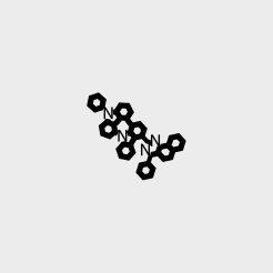 c1ccc(-c2nc(-c3ccc4c5cccc6c5c5c(cccc5n5c7ccccc7c3c45)n6-c3ccccc3)nc3c2ccc2ccccc23)cc1